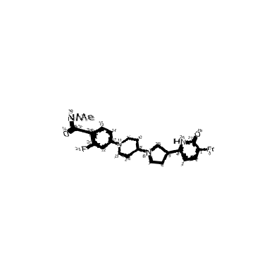 CCc1ccc(C2CCN(C3CCN(c4ccc(C(=O)NC)c(F)c4)CC3)C2)[nH]c1=O